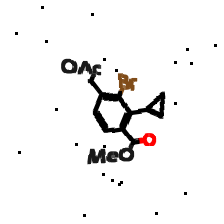 COC(=O)c1ccc(COC(C)=O)c(Br)c1C1CC1